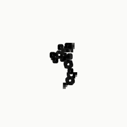 O=C(NO)C1(CS(=O)(=O)c2ccc(OCc3cc(F)ccc3F)cc2)CC2OCOC2C1